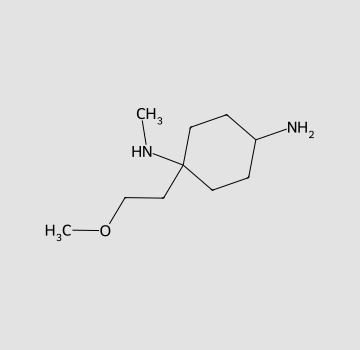 CNC1(CCOC)CCC(N)CC1